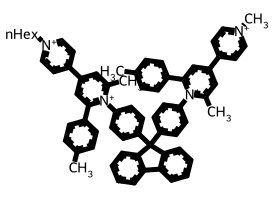 CCCCCC[n+]1ccc(-c2cc(C)[n+](-c3ccc(C4(c5ccc(-[n+]6c(C)cc(-c7cc[n+](C)cc7)cc6-c6ccc(C)cc6)cc5)c5ccccc5-c5ccccc54)cc3)c(-c3ccc(C)cc3)c2)cc1